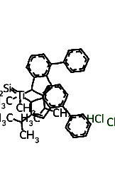 CC(C)C1=Cc2c(-c3ccccc3)cccc2[CH]1[Ti]([CH3])([CH3])(=[SiH2])[CH]1C(C(C)C)=Cc2c(-c3ccccc3)cccc21.Cl.Cl